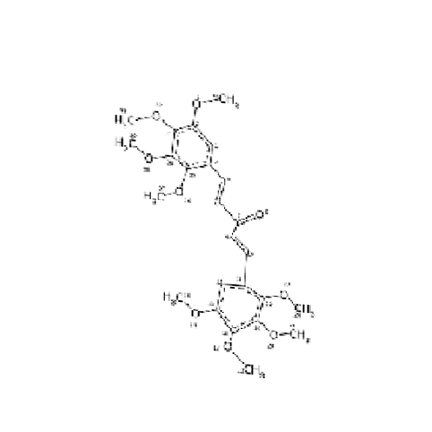 COc1cc(C=CC(=O)C=Cc2cc(OC)c(OC)c(OC)c2OC)c(OC)c(OC)c1OC